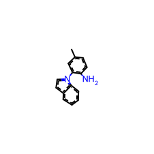 Cc1ccc(N)c(-n2ccc3ccccc32)c1